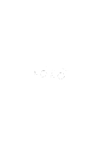 CS(=O)(=O)c1cccc(NC(=O)c2c(Cl)cc(N=S)cc2Cl)c1